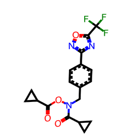 O=C(ON(Cc1ccc(-c2noc(C(F)(F)F)n2)cc1)C(=O)C1CC1)C1CC1